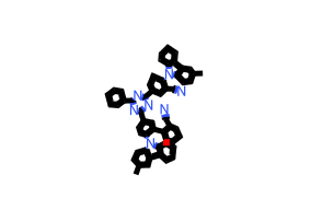 Cc1ccc2c(c1)c1ccccc1n2-c1ccc(-c2nc(-c3ccccc3)nc(-c3ccc(-n4c5ccccc5c5cc(C)ccc54)c(-c4ccccc4C#N)c3)n2)cc1C#N